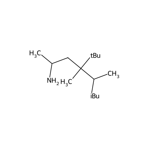 CCC(C)C(C)C(C)(CC(C)N)C(C)(C)C